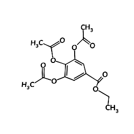 CCOC(=O)c1cc(OC(C)=O)c(OC(C)=O)c(OC(C)=O)c1